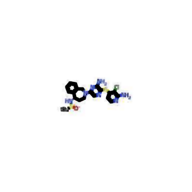 CC(C)(C)[S+]([O-])N[C@H]1CCN(c2cnc(Sc3ccnc(N)c3Cl)c(N)n2)Cc2ccccc21